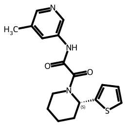 Cc1cncc(NC(=O)C(=O)N2CCCC[C@H]2c2cccs2)c1